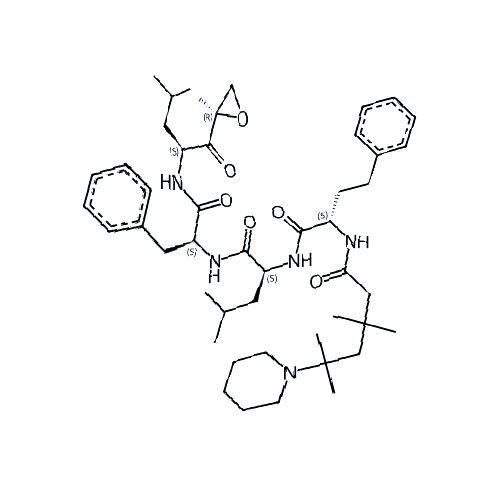 CC(C)C[C@H](NC(=O)[C@H](CCc1ccccc1)NC(=O)CC(C)(C)CC(C)(C)N1CCCCC1)C(=O)N[C@@H](Cc1ccccc1)C(=O)N[C@@H](CC(C)C)C(=O)[C@@]1(C)CO1